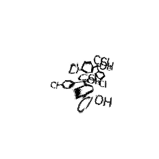 CO.OC(c1ccc(Cl)cc1)(c1ccc(Cl)cc1)C(Cl)(Cl)Cl.OC(c1ccc(Cl)cc1)(c1ccc(Cl)cc1)C(Cl)(Cl)Cl